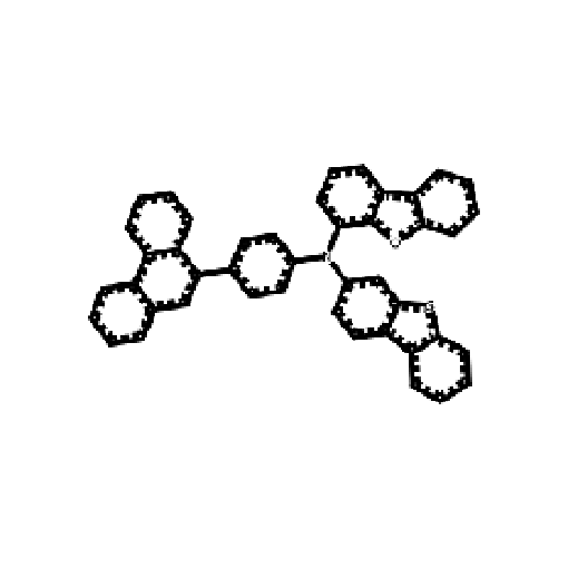 c1ccc2c(c1)cc(-c1ccc(N(c3ccc4c(c3)sc3ccccc34)c3cccc4c3oc3ccccc34)cc1)c1ccccc12